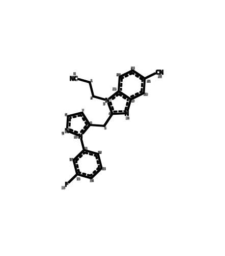 N#CCCn1c(Cc2ccnn2-c2cccc(F)c2)nc2cc(C#N)ccc21